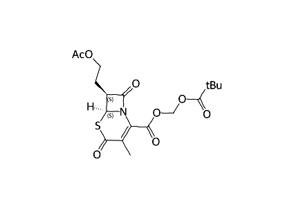 CC(=O)OCC[C@H]1C(=O)N2C(C(=O)OCOC(=O)C(C)(C)C)=C(C)C(=O)S[C@@H]12